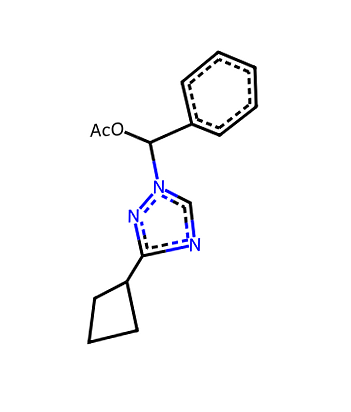 CC(=O)OC(c1ccccc1)n1cnc(C2CCC2)n1